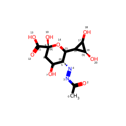 CC(=O)N=N[C@@H]1C(O)C[C@](O)(C(=O)O)OC1C1C(O)[C@H]1O